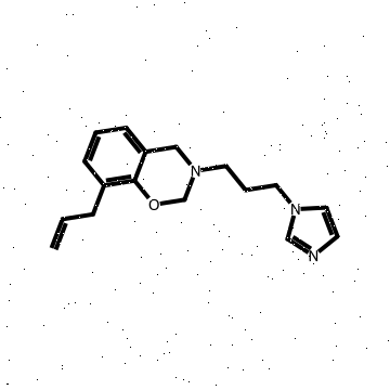 C=CCc1cccc2c1OCN(CCCn1ccnc1)C2